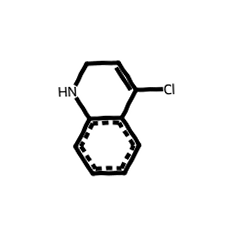 ClC1=CCNc2ccccc21